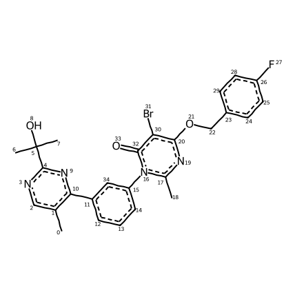 Cc1cnc(C(C)(C)O)nc1-c1cccc(-n2c(C)nc(OCc3ccc(F)cc3)c(Br)c2=O)c1